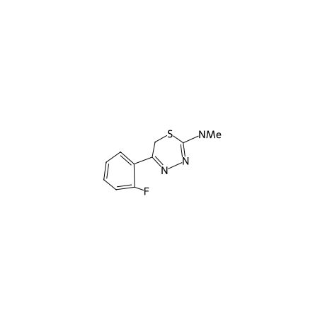 CNC1=NN=C(c2ccccc2F)CS1